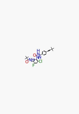 CC(C)(C)C#Cc1ccc(-c2nn(-c3cc(CNC(=O)C(C)(C)C)c(F)cc3Cl)c(=O)[nH]2)cc1